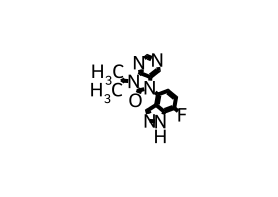 CC(C)n1c(=O)n(-c2ccc(F)c3[nH]ncc23)c2cncnc21